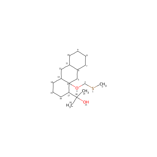 CSCOC12CC3CCCCC3CC1CCCC2C(C)(C)O